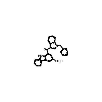 O=C(O)c1cc2c([nH]c3ccccc32)c(C(=O)c2cn(Cc3ccccc3)c3ccccc23)n1